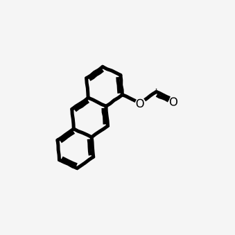 O=[C]Oc1cccc2cc3ccccc3cc12